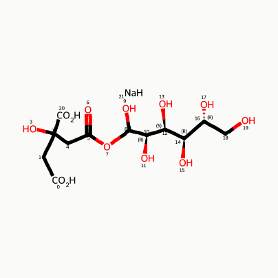 O=C(O)CC(O)(CC(=O)OC(O)[C@H](O)[C@@H](O)[C@H](O)[C@H](O)CO)C(=O)O.[NaH]